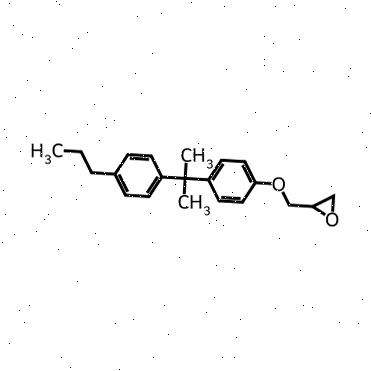 CCCc1ccc(C(C)(C)c2ccc(OCC3CO3)cc2)cc1